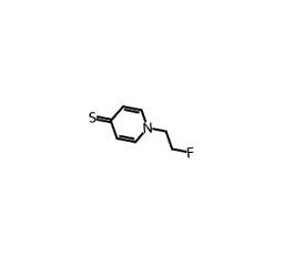 FCCn1ccc(=S)cc1